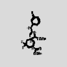 COC(=O)[C@@H]1CC(F)(F)C[C@@](CCNc2cccc(F)c2)(C(=O)OC)C1